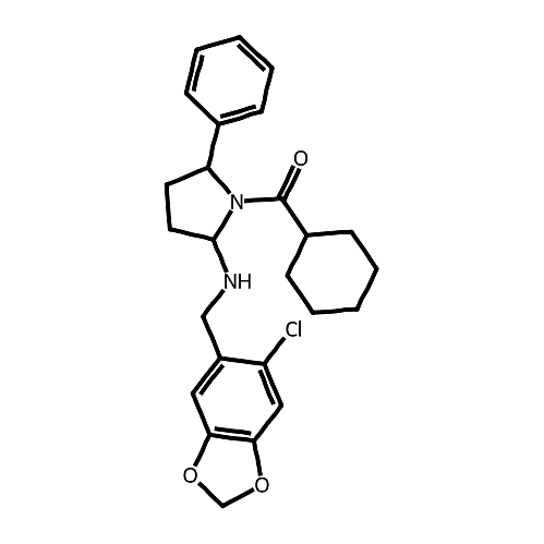 O=C(C1CCCCC1)N1C(NCc2cc3c(cc2Cl)OCO3)CCC1c1ccccc1